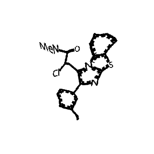 CNC(=O)C(Cl)c1c(-c2cccc(C)c2)nc2sc3ccccc3n12